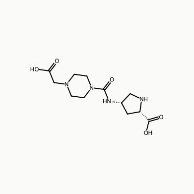 O=C(O)CN1CCN(C(=O)N[C@@H]2CN[C@H](C(=O)O)C2)CC1